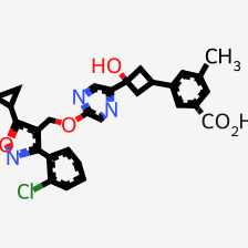 Cc1cc(C(=O)O)cc(C2CC(O)(c3cnc(OCc4c(-c5ccccc5Cl)noc4C4CC4)cn3)C2)c1